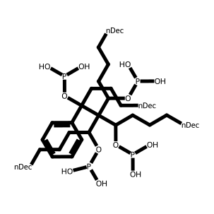 CCCCCCCCCCCCCC(OP(O)O)C(C(CCCCCCCCCCCCC)OP(O)O)(C(CCCCCCCCCCCCC)OP(O)O)C(CCCCCCCCCCCCC)(OP(O)O)c1ccccc1